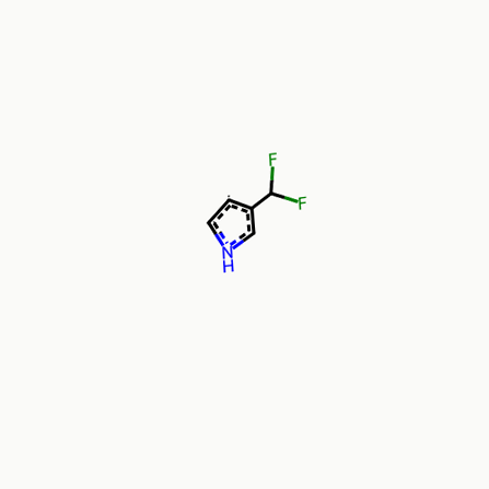 FC(F)c1[c]c[nH]c1